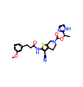 COc1cccc(CCC(=O)Nc2sc3c(c2C#N)CCN(C(=O)OC(C)c2ncc[nH]2)C3)c1